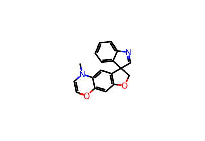 CN1C=COc2cc3c(cc21)C1(C=Nc2ccccc21)CO3